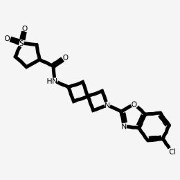 O=C(NC1CC2(C1)CN(c1nc3cc(Cl)ccc3o1)C2)C1CCS(=O)(=O)C1